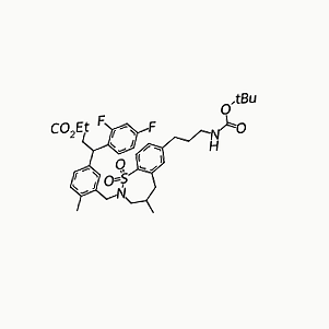 CCOC(=O)CC(c1ccc(C)c(CN2CC(C)Cc3cc(CCCNC(=O)OC(C)(C)C)ccc3S2(=O)=O)c1)c1ccc(F)cc1F